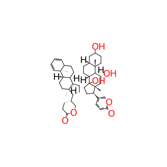 C[C@]12CC[C@H](O)C[C@H]1CC[C@@H]1[C@@H]2[C@H](O)C[C@]2(C)[C@@H](c3ccc(=O)oc3)CC[C@]12O.C[C@]12CC[C@H]3[C@@H](CCC4C=CC=C[C@@]43C)[C@H]1CC[C@@H]2[C@H]1CCC(=O)OC1